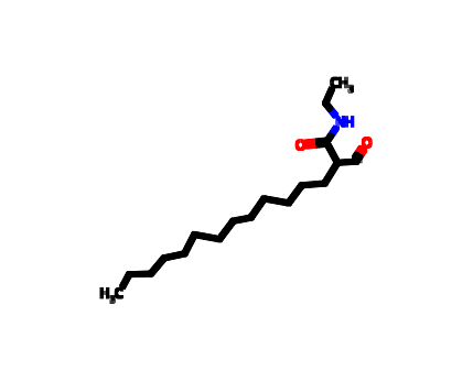 CCCCCCCCCCCCCC([C]=O)C(=O)NCC